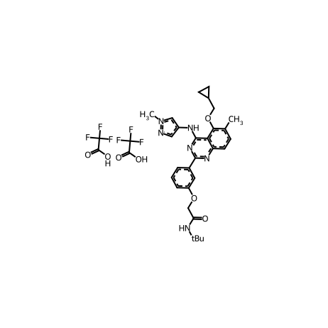 Cc1ccc2nc(-c3cccc(OCC(=O)NC(C)(C)C)c3)nc(Nc3cnn(C)c3)c2c1OCC1CC1.O=C(O)C(F)(F)F.O=C(O)C(F)(F)F